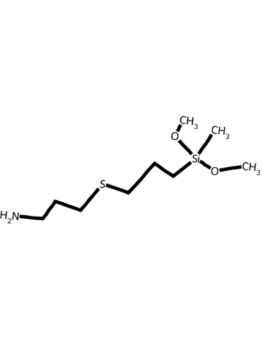 CO[Si](C)(CCCSCCCN)OC